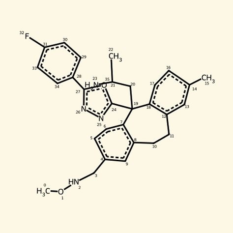 CONCc1ccc2c(c1)CCc1cc(C)ccc1C2(CC(C)N)c1nnc(-c2ccc(F)cc2)o1